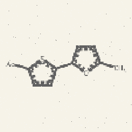 CC(=O)c1ccc(-c2ccc(C)o2)s1